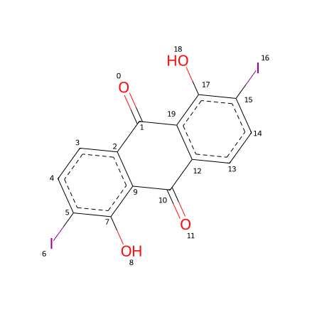 O=C1c2ccc(I)c(O)c2C(=O)c2ccc(I)c(O)c21